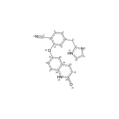 N#Cc1ccc(Cc2ncc[nH]2)cc1Oc1ccc2[nH]c(=O)ccc2c1